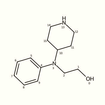 OCCN(c1ccccc1)C1CCNCC1